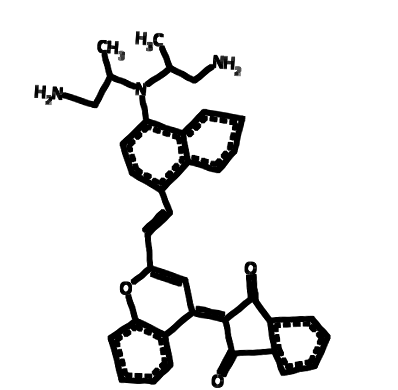 CC(CN)N(c1ccc(C=CC2=CC(=C3C(=O)c4ccccc4C3=O)c3ccccc3O2)c2ccccc12)C(C)CN